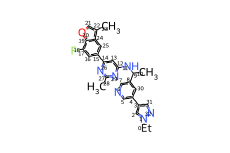 CCn1cc(-c2cncc(C(C)Nc3cc(-c4cc(F)c5occ(C)c5c4)nc(C)n3)c2)cn1